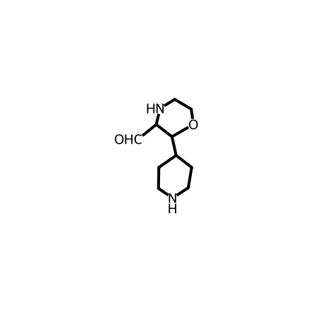 O=CC1NCCOC1C1CCNCC1